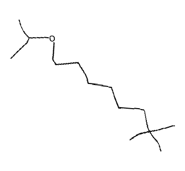 CC(C)OCCCCCCC(C)(C)C